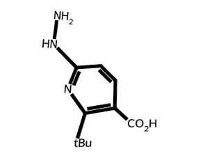 CC(C)(C)c1nc(NN)ccc1C(=O)O